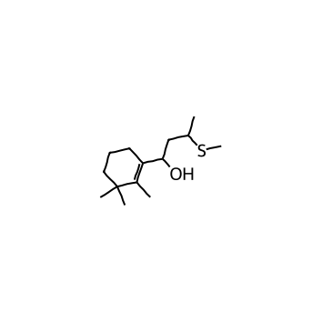 CSC(C)CC(O)C1=C(C)C(C)(C)CCC1